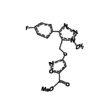 COC(=O)c1cc(OCc2c(-c3ccc(F)cc3)nnn2C)no1